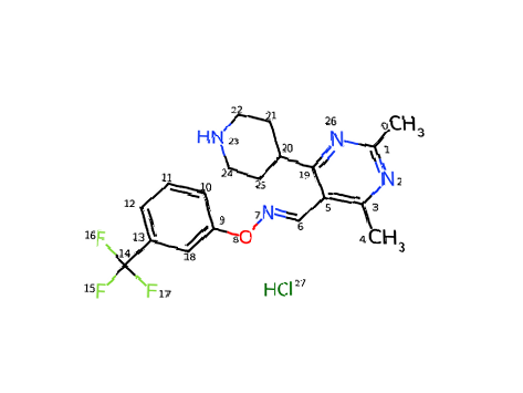 Cc1nc(C)c(C=NOc2cccc(C(F)(F)F)c2)c(C2CCNCC2)n1.Cl